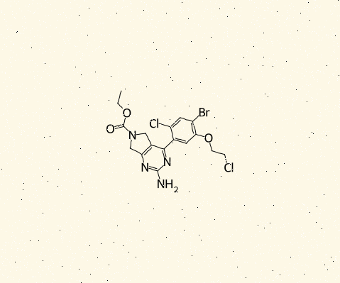 CCOC(=O)N1Cc2nc(N)nc(-c3cc(OCCCl)c(Br)cc3Cl)c2C1